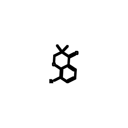 CC1(C)COc2c(Br)cccc2C1=O